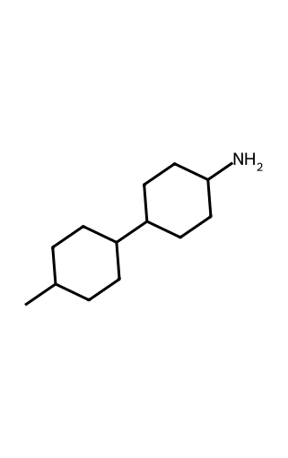 CC1CCC(C2CCC(N)CC2)CC1